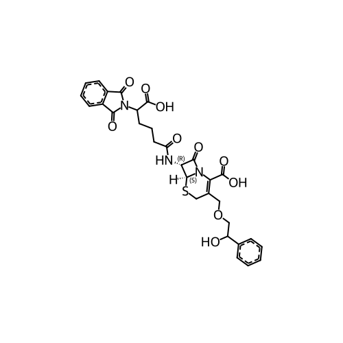 O=C(CCCC(C(=O)O)N1C(=O)c2ccccc2C1=O)N[C@@H]1C(=O)N2C(C(=O)O)=C(COCC(O)c3ccccc3)CS[C@@H]12